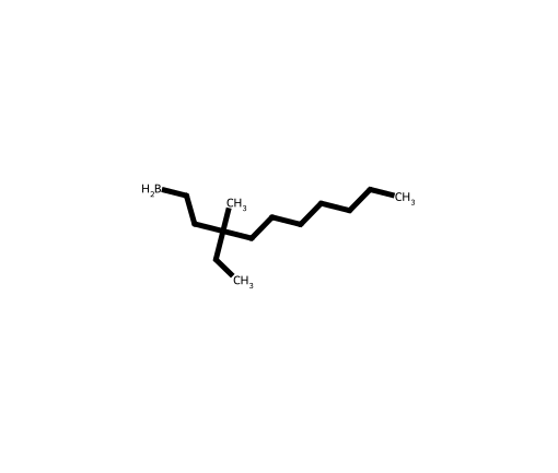 BCCC(C)(CC)CCCCCCC